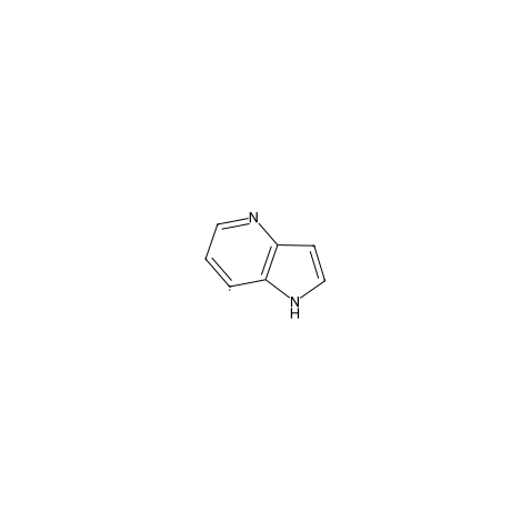 [c]1ccnc2cc[nH]c12